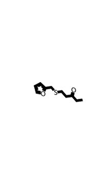 CCC(=O)CCSCc1ccco1